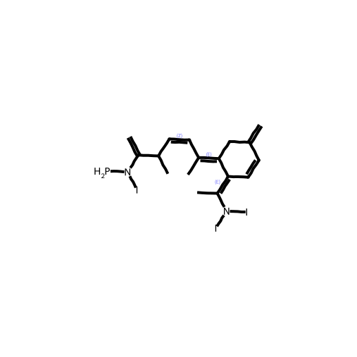 C=C1C=CC(=C(/C)N(I)I)/C(=C(C)/C=C\C(C)C(=C)N(P)I)C1